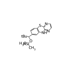 C[SiH](C)OC(c1ccc2c(c1)Nc1nccnc1S2)C(C)(C)C